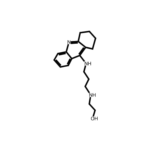 OCCNCCCNc1c2c(nc3ccccc13)CCCC2